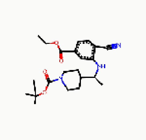 CCOC(=O)c1ccc(C#N)c(N[C@@H](C)C2CCN(C(=O)OC(C)(C)C)CC2)c1